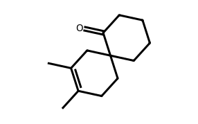 CC1=C(C)CC2(CCCCC2=O)CC1